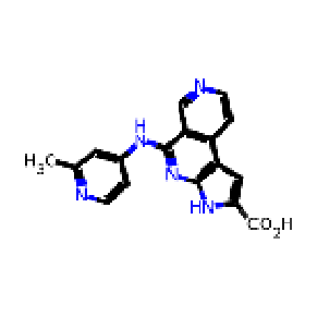 Cc1cc(Nc2nc3[nH]c(C(=O)O)cc3c3ccncc23)ccn1